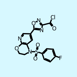 O=C(Cl)c1noc(-c2cnc3c(c2)N(S(=O)(=O)c2ccc(F)cc2)CCO3)n1